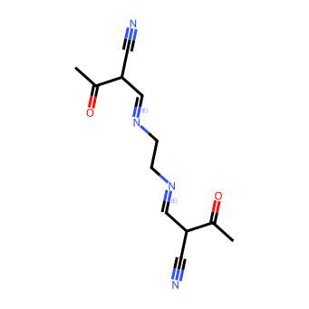 CC(=O)C(C#N)/C=N/CC/N=C/C(C#N)C(C)=O